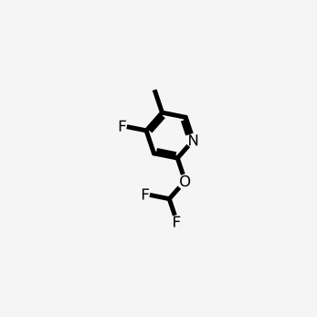 Cc1cnc(OC(F)F)cc1F